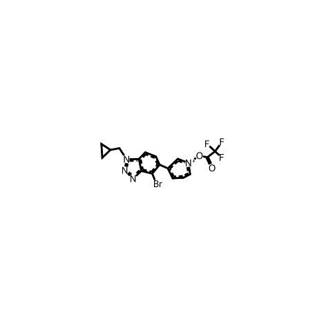 O=C(O[n+]1cccc(-c2ccc3c(nnn3CC3CC3)c2Br)c1)C(F)(F)F